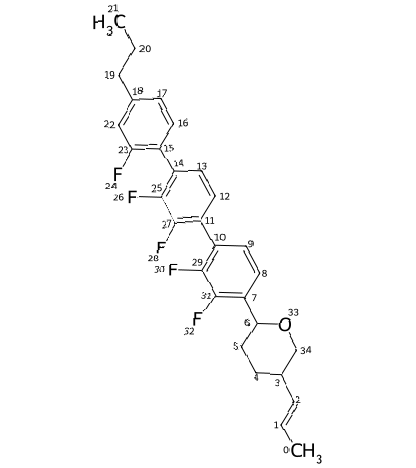 C/C=C/C1CCC(c2ccc(-c3ccc(-c4ccc(CCC)cc4F)c(F)c3F)c(F)c2F)OC1